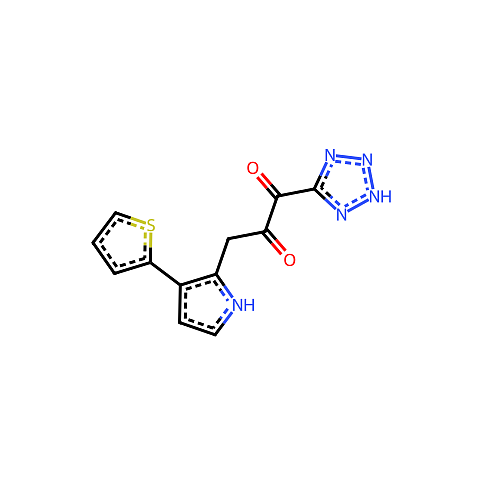 O=C(Cc1[nH]ccc1-c1cccs1)C(=O)c1nn[nH]n1